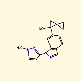 Cn1ccc(-n2ncc3ccc(C4(C#N)CC45CC5)cc32)n1